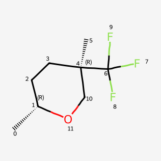 C[C@@H]1CC[C@@](C)(C(F)(F)F)CO1